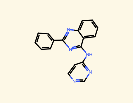 c1ccc(-c2nc(Nc3ccncn3)c3ccccc3n2)cc1